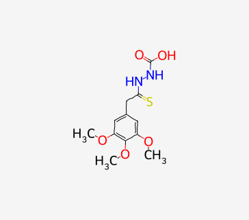 COc1cc(CC(=S)NNC(=O)O)cc(OC)c1OC